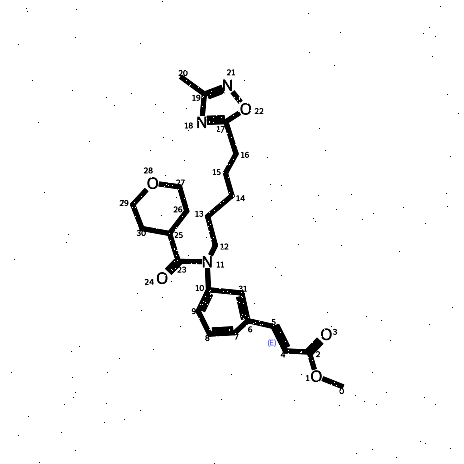 COC(=O)/C=C/c1cccc(N(CCCCCc2nc(C)no2)C(=O)C2CCOCC2)c1